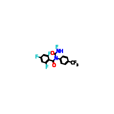 O=C(NF)N(C(=O)c1c(F)cc(F)cc1F)c1ccc(C(F)(F)F)cc1